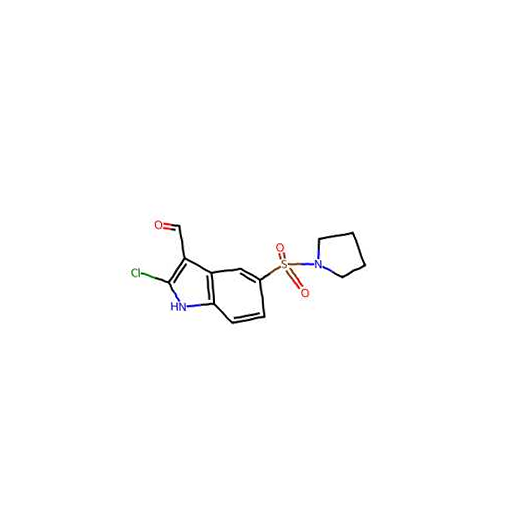 O=Cc1c(Cl)[nH]c2ccc(S(=O)(=O)N3CCCC3)cc12